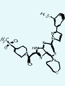 Cc1cccc(-c2ccn(-c3nc(N4CCOCC4)c4nc(C(=O)N5CCC(S(C)(=O)=O)CC5)[nH]c4n3)n2)c1